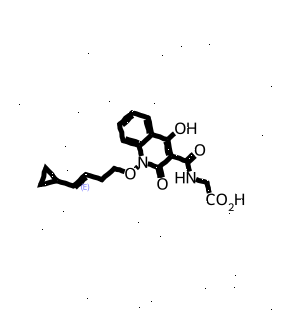 O=C(O)CNC(=O)c1c(O)c2ccccc2n(OCC/C=C/C2CC2)c1=O